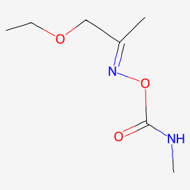 CCOCC(C)=NOC(=O)NC